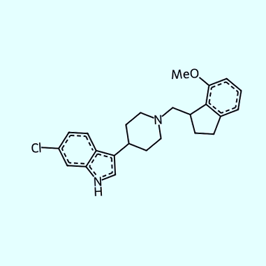 COc1cccc2c1C(CN1CCC(c3c[nH]c4cc(Cl)ccc34)CC1)CC2